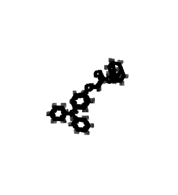 O=C(COc1ccc([S+](c2ccccc2)c2ccccc2)cc1)OC12CC3CC(C1)C(=O)C(C3)C2